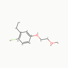 CCc1cc(OCCOC)ccc1F